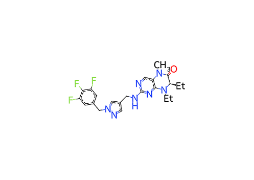 CC[C@@H]1C(=O)N(C)c2cnc(NCc3cnn(Cc4cc(F)c(F)c(F)c4)c3)nc2N1CC